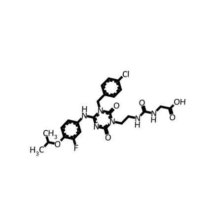 CC(C)Oc1ccc(Nc2nc(=O)n(CCNC(=O)NCC(=O)O)c(=O)n2Cc2ccc(Cl)cc2)cc1F